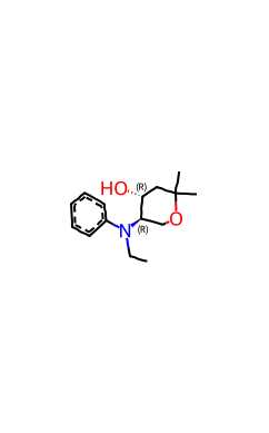 CCN(c1ccccc1)[C@@H]1COC(C)(C)C[C@H]1O